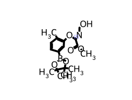 COC(=O)/C(=N/CO)Oc1cc(B2OC(C)(C)C(C)(C)O2)ccc1C